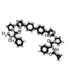 CN(C)[C@@H](C(=O)N1CCC[C@H]1c1ncc(C2CCC(c3ccc(-c4cnc([C@@H]5CCCN5C(=O)[C@H](NC(=O)C5CC5)c5ccccc5)[nH]4)cc3)CC2)[nH]1)c1ccccc1